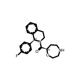 O=C([C@H]1CCNCCO1)N1CCc2ccccc2[C@@H]1c1ccc(F)cc1